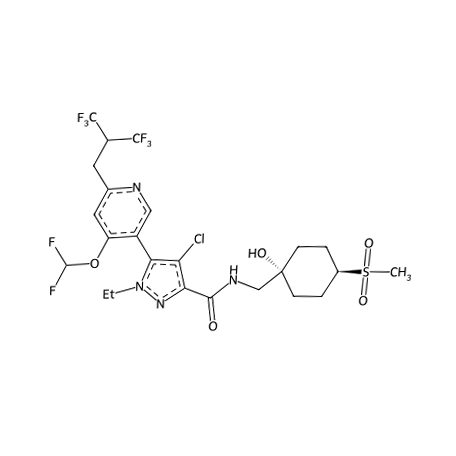 CCn1nc(C(=O)NC[C@]2(O)CC[C@H](S(C)(=O)=O)CC2)c(Cl)c1-c1cnc(CC(C(F)(F)F)C(F)(F)F)cc1OC(F)F